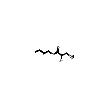 CCCCOC(=O)C(Br)CO